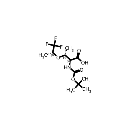 C[C@@H](O[C@H](C)C(F)(F)F)[C@H](NC(=O)OC(C)(C)C)C(=O)O